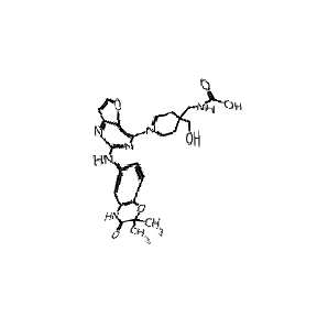 CC1(C)Oc2ccc(Nc3nc(N4CCC(CO)(CNC(=O)O)CC4)c4occc4n3)cc2NC1=O